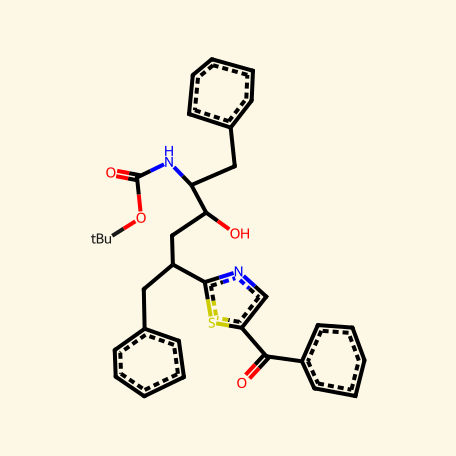 CC(C)(C)OC(=O)NC(Cc1ccccc1)C(O)CC(Cc1ccccc1)c1ncc(C(=O)c2ccccc2)s1